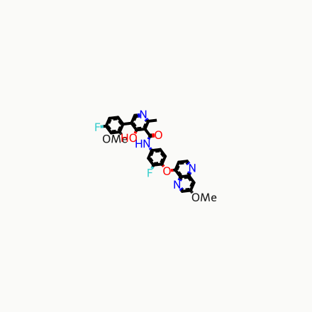 COc1cnc2c(Oc3ccc(NC(=O)c4c(C)ncc(-c5ccc(F)cc5OC)c4O)cc3F)ccnc2c1